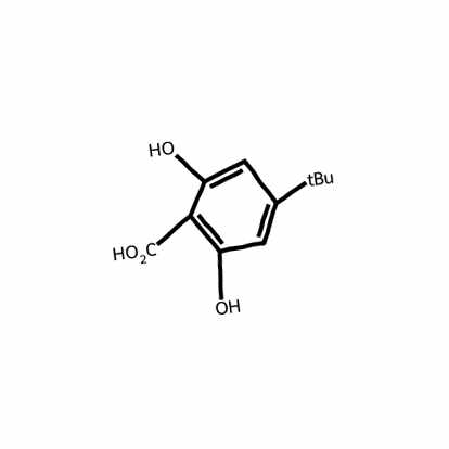 CC(C)(C)c1cc(O)c(C(=O)O)c(O)c1